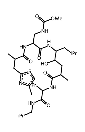 COC(=O)NCC(NC(=O)C(C)Cc1nc(C)cs1)C(=O)NC(CC(C)C)C(O)CC(C)C(=O)NC(C(=O)NCC(C)C)C(C)C